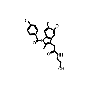 Cc1c(CC(=O)NCCO)c2cc(O)c(F)cc2n1C(=O)c1ccc(Cl)cc1